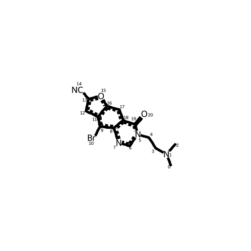 CN(C)CCn1cnc2c(Br)c3cc(C#N)oc3cc2c1=O